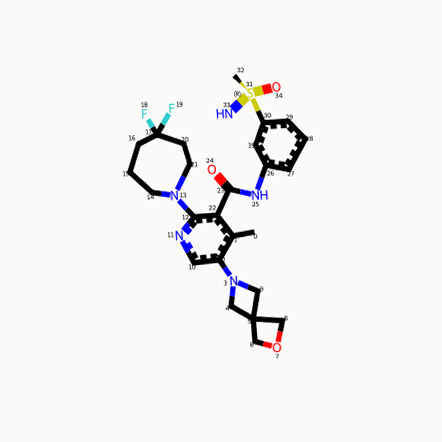 Cc1c(N2CC3(COC3)C2)cnc(N2CCCC(F)(F)CC2)c1C(=O)Nc1cccc([S@](C)(=N)=O)c1